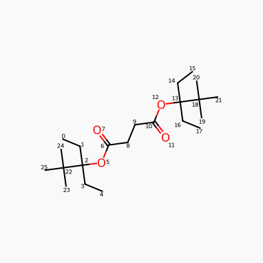 CCC(CC)(OC(=O)CCC(=O)OC(CC)(CC)C(C)(C)C)C(C)(C)C